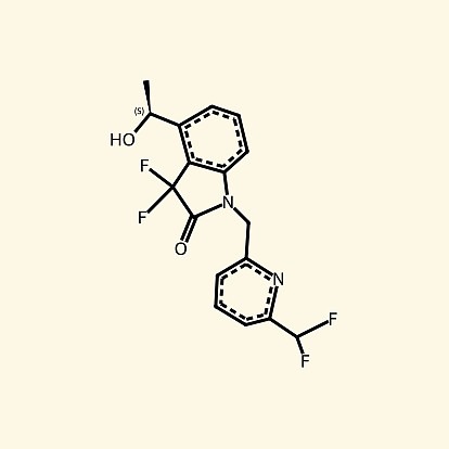 C[C@H](O)c1cccc2c1C(F)(F)C(=O)N2Cc1cccc(C(F)F)n1